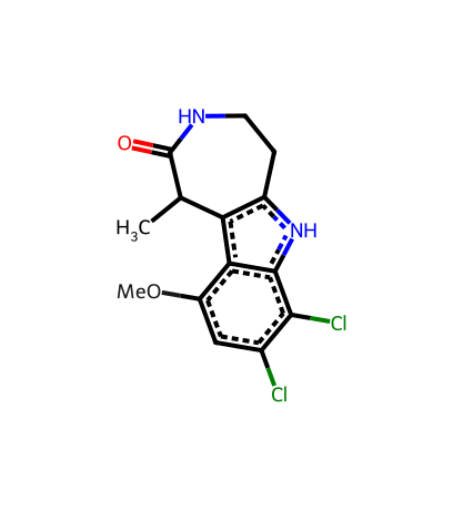 COc1cc(Cl)c(Cl)c2[nH]c3c(c12)C(C)C(=O)NCC3